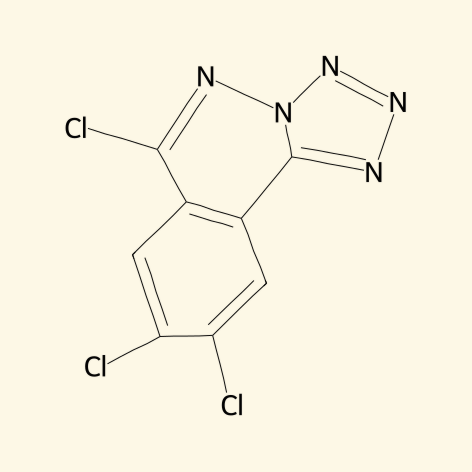 Clc1cc2c(Cl)nn3nnnc3c2cc1Cl